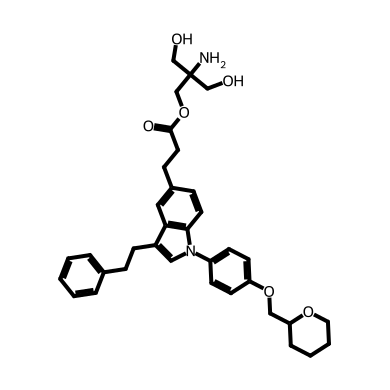 NC(CO)(CO)COC(=O)CCc1ccc2c(c1)c(CCc1ccccc1)cn2-c1ccc(OCC2CCCCO2)cc1